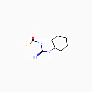 N=C(NC(=O)S)NC1CCCCC1